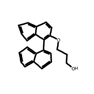 OCCCOc1ccc2ccccc2c1-c1cccc2ccccc12